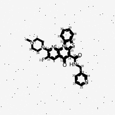 CN1CCN(c2nc3c(cc2F)c(=O)c(C(=O)NCc2cccnc2)c2sc4ccccc4n23)CC1